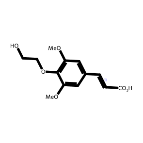 COc1cc(/C=C/C(=O)O)cc(OC)c1OCCO